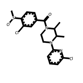 CC1C(C)N(c2cccc(Cl)n2)CCN1C(=O)c1ccc([S+](C)[O-])c(Cl)c1